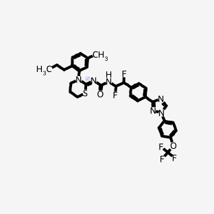 CCCc1ccc(C)cc1N1CCCS/C1=N\C(=O)NC(F)C(F)c1ccc(-c2ncn(-c3ccc(OC(F)(F)F)cc3)n2)cc1